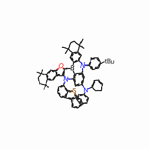 CC(C)(C)c1ccc(N2c3cc4c(cc3B3c5oc6cc7c(cc6c5N(c5cccc6c5sc5ccccc56)c5cc(N(C6=CC=CCC6)c6ccccc6)cc2c53)C(C)(C)CCC7(C)C)C(C)(C)CCC4(C)C)cc1